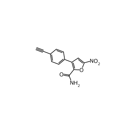 C#Cc1ccc(-c2cc([N+](=O)[O-])oc2C(N)=O)cc1